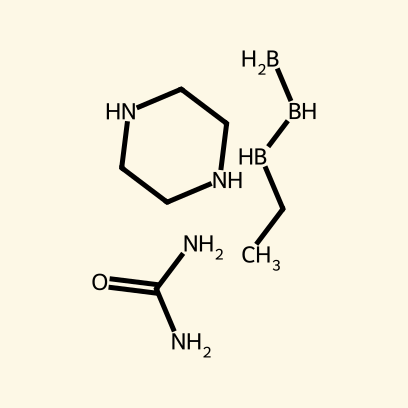 BBBCC.C1CNCCN1.NC(N)=O